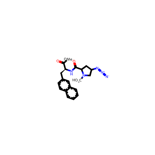 COC(=O)[C@H](Cc1ccc2ccccc2c1)NC(=O)C1CC(N=[N+]=[N-])CN1C(=O)O